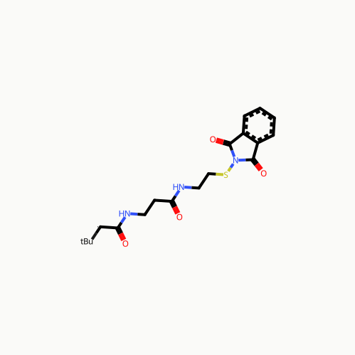 [CH2]C(C)(C)[CH]C(=O)NCCC(=O)NCCSN1C(=O)c2ccccc2C1=O